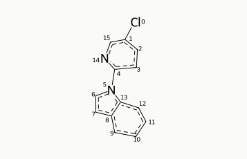 Clc1ccc(-n2ccc3c[c]ccc32)nc1